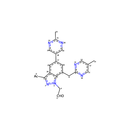 CC(=O)c1nn(CC=O)c2c(Cc3ncc(C)cn3)cc(-c3cnc(C)nc3)cc12